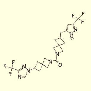 O=C(N1CC2(CC(Cc3cc(C(F)(F)F)n[nH]3)C2)C1)N1CC2(CC(n3cnc(C(F)(F)F)n3)C2)C1